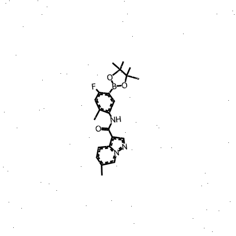 Cc1ccc2c(C(=O)Nc3cc(B4OC(C)(C)C(C)(C)O4)c(F)cc3C)cnn2c1